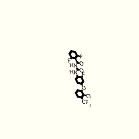 O=C(NC(=O)c1c(F)cccc1F)Nc1ccc(Oc2cccc(C(F)(F)F)c2Cl)cc1F